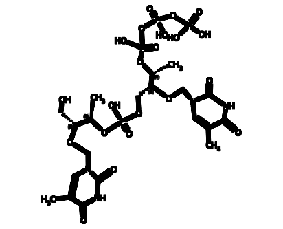 Cc1cn(CO[C@H](CO)[C@@H](C)OP(=O)(O)OC[C@@H](OCn2cc(C)c(=O)[nH]c2=O)[C@@H](C)OP(=O)(O)OP(=O)(O)OP(=O)(O)O)c(=O)[nH]c1=O